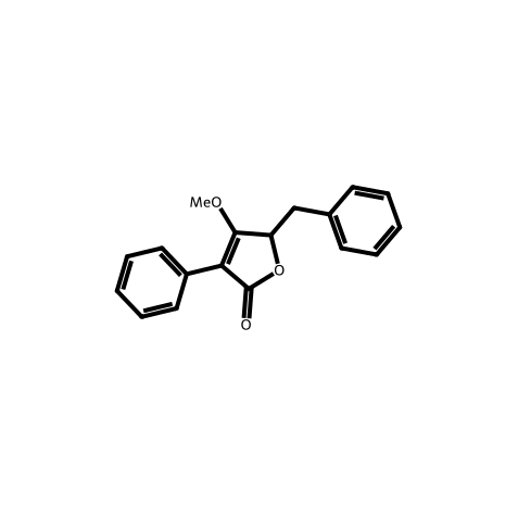 COC1=C(c2ccccc2)C(=O)OC1Cc1ccccc1